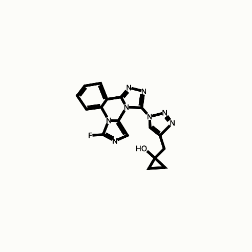 OC1(Cc2cn(-c3nnc4c5ccccc5n5c(F)ncc5n34)nn2)CC1